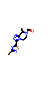 Cc1nsc(-c2nnc3n2CCN(C=O)C3C)n1